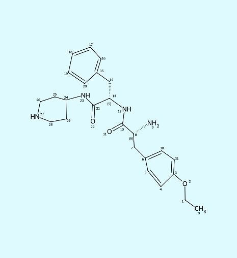 CCOc1ccc(C[C@@H](N)C(=O)N[C@@H](Cc2ccccc2)C(=O)NC2CCNCC2)cc1